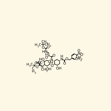 C=C(/C=C\C(=C/C)COC(=O)N[C@@H]1C[C@H](O)[C@@H](O[C@H]2OC[C@](C)(O)[C@H](N(C)C(=O)OC(C)(C)C)[C@H]2O)[C@H](NC(=O)[C@@H](O)CNC(=O)OC(C)(C)C)C1)[N+](=O)[O-]